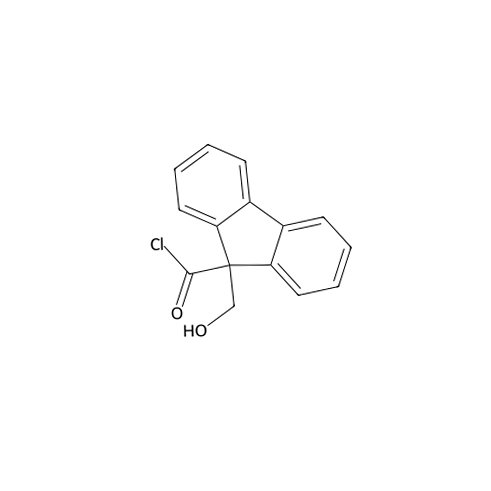 O=C(Cl)C1(CO)c2ccccc2-c2ccccc21